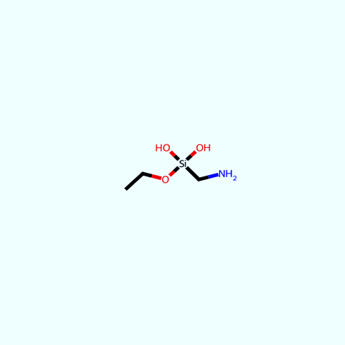 CCO[Si](O)(O)CN